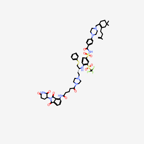 C=C(C)CCC1=C(CN2CCN(c3ccc(C(=O)NS(=O)(=O)c4ccc(N[C@H](CCN5CCN(C(=O)CCCC(=O)Nc6cccc7c6C(=O)N(C6CCC(=O)NC6=O)C7=O)CC5)CSc5ccccc5)c(S(=O)(=O)C(F)(F)F)c4)cc3)CC2)CCC(C)(C)C1